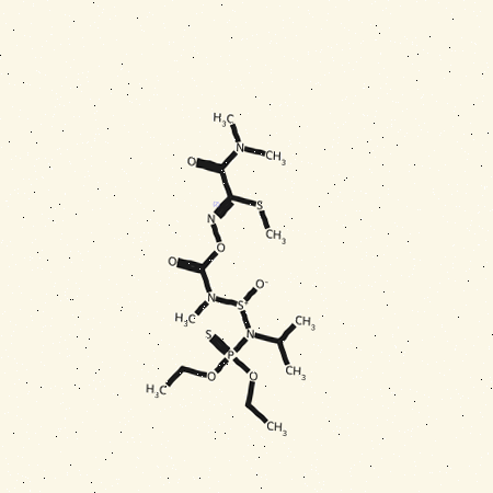 CCOP(=S)(OCC)N(C(C)C)[S+]([O-])N(C)C(=O)O/N=C(\SC)C(=O)N(C)C